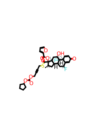 C[C@@H]1C[C@H]2[C@@H]3C[C@H](F)C4=CC(=O)C=C[C@]4(C)[C@@]3(F)[C@@H](O)C[C@]2(C)[C@@]1(OC(=O)c1ccco1)C(=O)SCC#CCOC(=O)OC1CCCC1